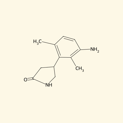 Cc1ccc(N)c(C)c1C1CNC(=O)C1